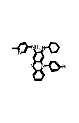 Cc1ccc(Nc2cc3nc4ccccc4n(-c4ccc(Br)cc4)c-3c/c2=N\C2CCCCC2)cn1